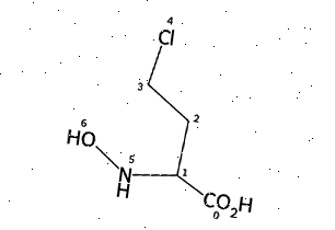 O=C(O)C(CCCl)NO